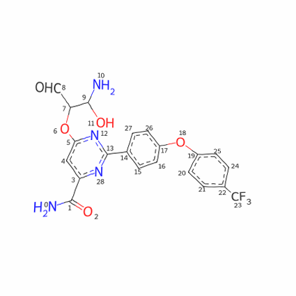 NC(=O)c1cc(OC(C=O)C(N)O)nc(-c2ccc(Oc3ccc(C(F)(F)F)cc3)cc2)n1